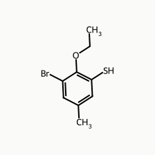 CCOc1c(S)cc(C)cc1Br